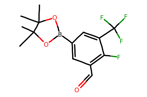 CC1(C)OB(c2cc(C=O)c(F)c(C(F)(F)F)c2)OC1(C)C